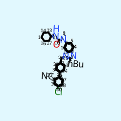 CCCCc1nc2ccc(N(C)C(=O)NC3CCCCC3)cc2n1Cc1ccc(-c2ccc(Cl)cc2C#N)cc1